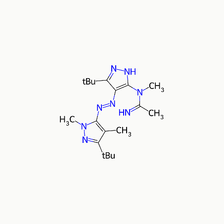 CC(=N)N(C)c1[nH]nc(C(C)(C)C)c1/N=N/c1c(C)c(C(C)(C)C)nn1C